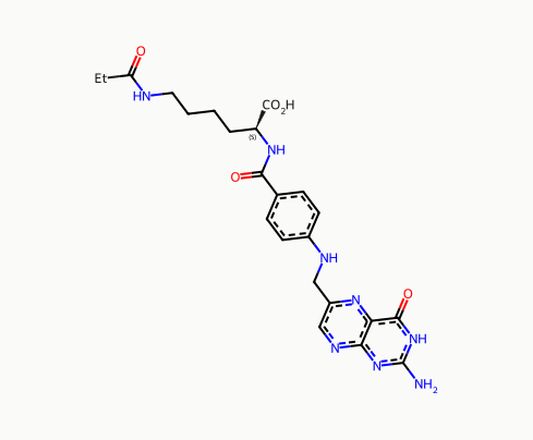 CCC(=O)NCCCC[C@H](NC(=O)c1ccc(NCc2cnc3nc(N)[nH]c(=O)c3n2)cc1)C(=O)O